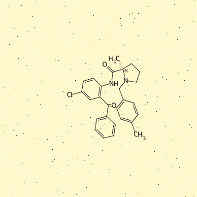 Cc1ccc(CN2CCC[C@]2(C)C(=O)Nc2ccc(Cl)cc2C(=O)c2ccccc2)cc1